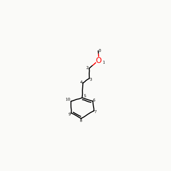 COCCCC1=CCC=CC1